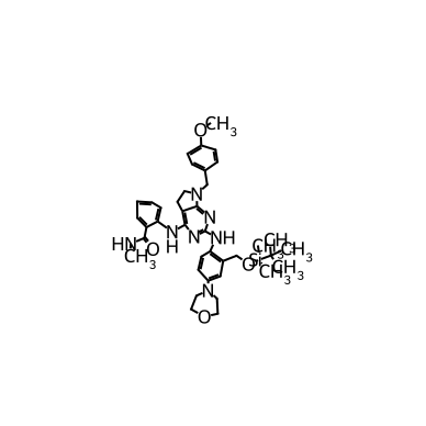 CNC(=O)c1ccccc1Nc1nc(Nc2ccc(N3CCOCC3)cc2CO[Si](C)(C)C(C)(C)C)nc2c1CCN2Cc1ccc(OC)cc1